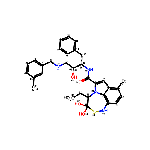 CCc1ccc2c3c1cc(C(=O)N[C@@H](Cc1ccccc1)[C@H](O)CNCc1cccc(C(F)(F)F)c1)n3C(CC(=O)O)C(O)(O)SN2